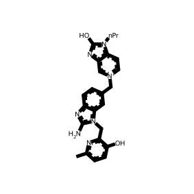 CCCn1c(O)nc2c[n+](Cc3ccc4nc(N)n(Cc5nc(C)ccc5O)c4c3)ccc21